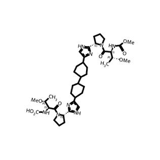 COC(=O)N[C@H](C(=O)N1CCC[C@H]1c1nc(C2CCC(C3CCC(c4c[nH]c([C@@H]5CCCN5C(=O)[C@@H](NC(=O)O)[C@@H](C)OC)n4)CC3)CC2)c[nH]1)[C@@H](C)OC